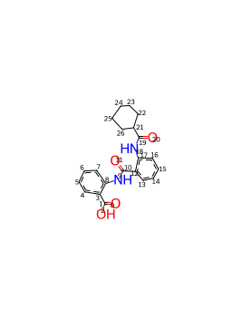 O=C(O)c1ccccc1NC(=O)c1ccccc1NC(=O)C1CCCCC1